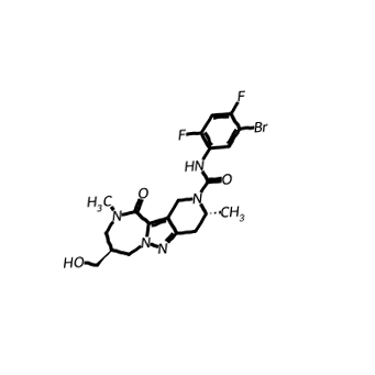 C[C@@H]1Cc2nn3c(c2CN1C(=O)Nc1cc(Br)c(F)cc1F)C(=O)N(C)C[C@H](CO)C3